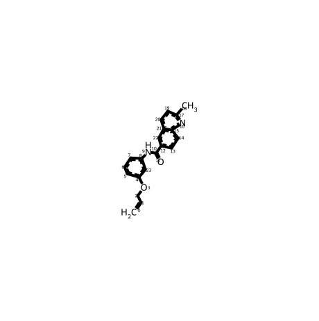 C=CCOc1cccc(NC(=O)c2ccc3nc(C)ccc3c2)c1